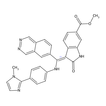 COC(=O)c1ccc2c(c1)NC(=O)/C2=C(\Nc1ccc(-c2nccn2C)cc1)c1ccc2cnncc2c1